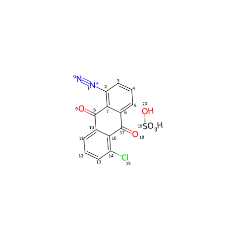 N#[N+]c1cccc2c1C(=O)c1cccc(Cl)c1C2=O.O=S(=O)(O)O